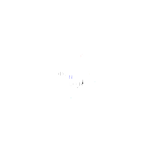 CC(C)(C)N(C(=O)O)[C@@H]1CC(=O)CS[C@H]1c1cc(F)ccc1F